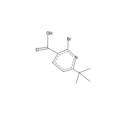 CC(C)(C)c1ccc(C(=O)O)c(Br)n1